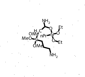 CCC[Si](OCC)(OCC)OC(C)N.CO[Si](CCCN)(OC)OC